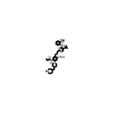 C=CC(=O)Nc1cc(CCCc2ncc(C3CC3)c(Nc3ccccc3P(C)(C)=O)n2)c(OC)cc1N1CCC(/C=C2/CCCN(C)CC2)CC1